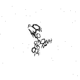 O=C(c1nnc(-c2ncccc2F)o1)N1CCc2[nH]cnc2[C@H]1c1nc2cccc(C(F)(F)F)c2o1